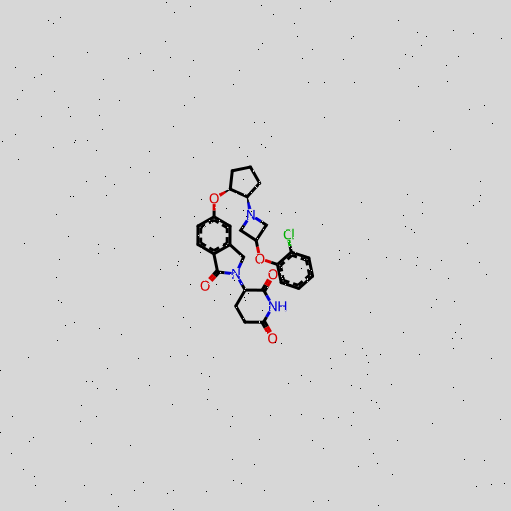 O=C1CCC(N2Cc3cc(O[C@H]4CCC[C@H]4N4CC(Oc5ccccc5Cl)C4)ccc3C2=O)C(=O)N1